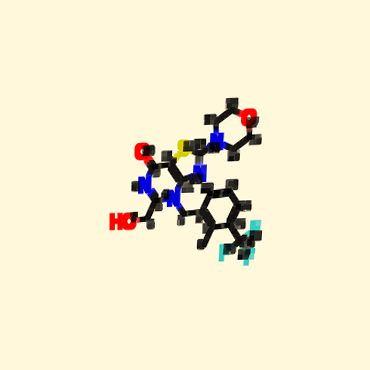 Cc1c(Cn2c(CO)nc(=O)c3sc(N4CCOCC4)nc32)cccc1C(F)(F)F